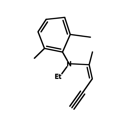 C#C/C=C(/C)N(CC)c1c(C)cccc1C